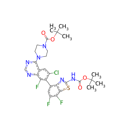 CC(C)(C)OC(=O)Nc1nc2c(-c3c(Cl)cc4c(N5CCN(C(=O)OC(C)(C)C)CC5)ncnc4c3F)cc(F)c(F)c2s1